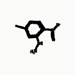 Cc1ccc([N+](=O)[O-])c(NN)c1